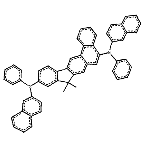 CC1(C)c2cc(N(c3ccccc3)c3ccc4ccccc4c3)ccc2-c2cc3c(cc21)cc(N(c1ccccc1)c1ccc2ccccc2c1)c1ccccc13